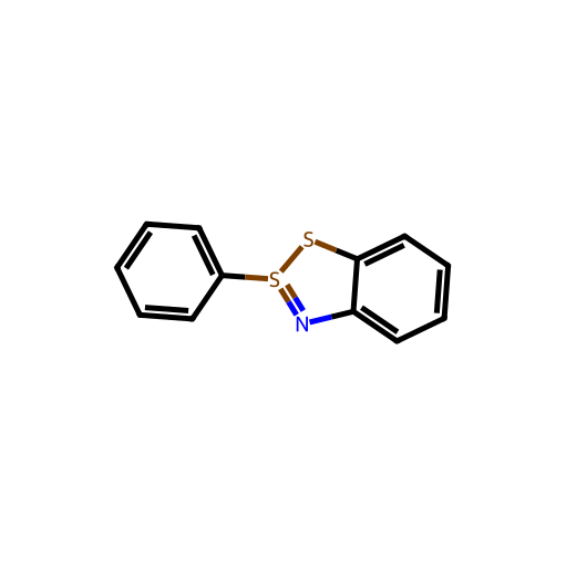 c1ccc(S2=Nc3ccccc3S2)cc1